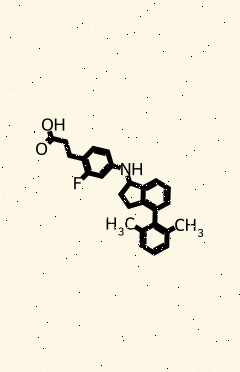 Cc1cccc(C)c1-c1cccc2c1CCC2Nc1ccc(CCC(=O)O)c(F)c1